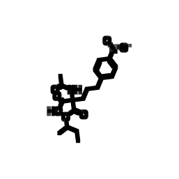 CCC(C)OC(=O)C(CCCc1ccc([N+](=O)[O-])cc1)(NC(C)=O)C(=O)O